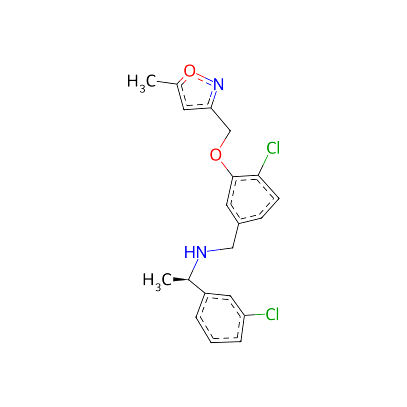 Cc1cc(COc2cc(CN[C@H](C)c3cccc(Cl)c3)ccc2Cl)no1